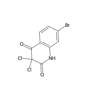 O=C1Nc2cc(Br)ccc2C(=O)C1(Cl)Cl